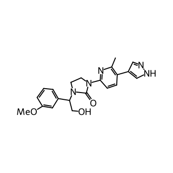 COc1cccc(C(CO)N2CCN(c3ccc(-c4cn[nH]c4)c(C)n3)C2=O)c1